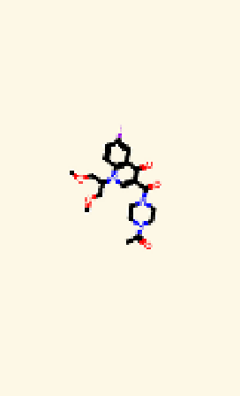 COCC(COC)n1cc(C(=O)N2CCN(C(C)=O)CC2)c(=O)c2cc(I)ccc21